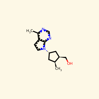 Cc1ncnc2c1ccn2[C@@H]1C[C@@H](CO)[C@@H](C)C1